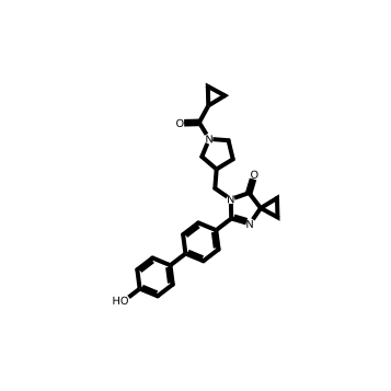 O=C(C1CC1)N1CCC(CN2C(=O)C3(CC3)N=C2c2ccc(-c3ccc(O)cc3)cc2)C1